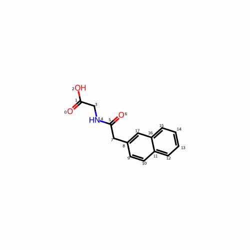 O=C(O)CNC(=O)Cc1ccc2ccccc2c1